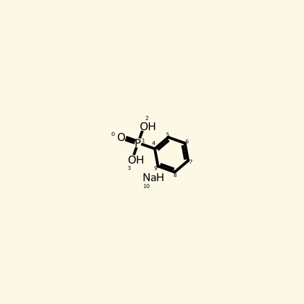 O=P(O)(O)c1ccccc1.[NaH]